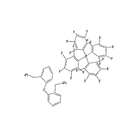 CC(C)Cc1ccccc1[I+]c1ccccc1CC(C)C.Fc1c(F)c(F)c([B-](c2c(F)c(F)c(F)c(F)c2F)(c2c(F)c(F)c(F)c(F)c2F)c2c(F)c(F)c(F)c(F)c2F)c(F)c1F